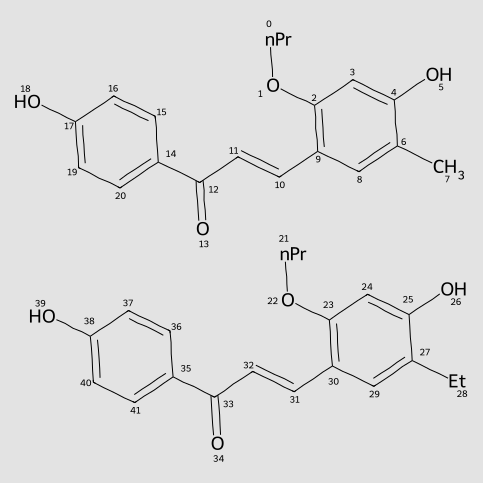 CCCOc1cc(O)c(C)cc1/C=C/C(=O)c1ccc(O)cc1.CCCOc1cc(O)c(CC)cc1/C=C/C(=O)c1ccc(O)cc1